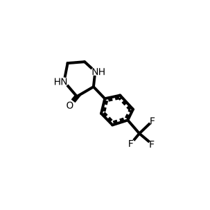 O=C1NCCNC1c1ccc(C(F)(F)F)cc1